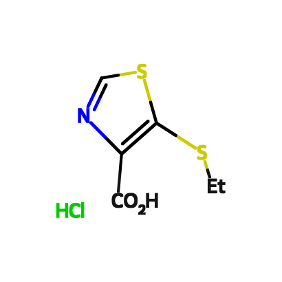 CCSc1scnc1C(=O)O.Cl